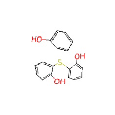 Oc1ccccc1.Oc1ccccc1Sc1ccccc1O